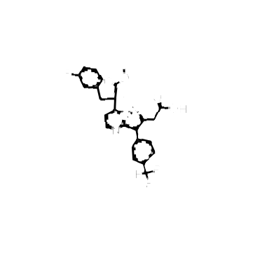 COC(=O)[C@](C)(Cc1cccc(F)c1)c1ccnc2c(-c3ccc(C(F)(F)F)cc3)c(CC(=O)O)nn12